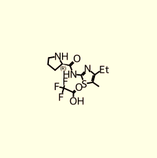 CCc1nc(NC(=O)[C@H]2CCCN2)sc1C.O=C(O)C(F)(F)F